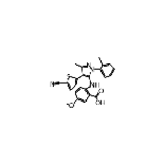 COc1ccc(Nc2c(-c3ccc(C#N)s3)c(C)nn2-c2ccccc2C)c(C(=O)O)c1